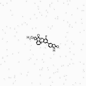 CN1CC2(C1)C(=O)N(Cc1c(F)cc(-c3ccc4c(c3)CC(=O)N4)cc1F)c1ccccc12